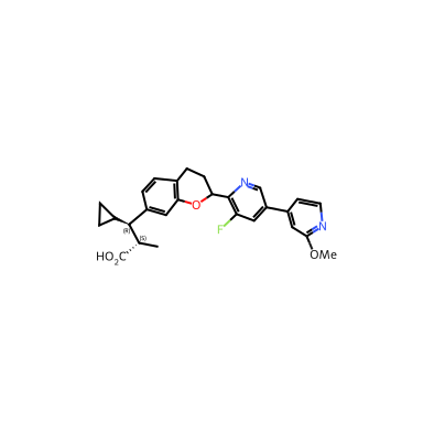 COc1cc(-c2cnc(C3CCc4ccc([C@H](C5CC5)[C@H](C)C(=O)O)cc4O3)c(F)c2)ccn1